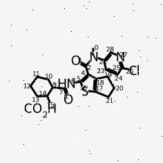 CN(C(=O)c1c(NC(=O)C2CCCCC2C(=O)O)sc2c1CCC2)c1ccc(Cl)nc1